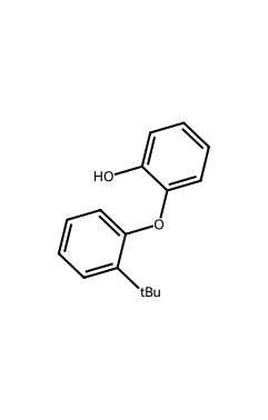 CC(C)(C)c1ccccc1Oc1ccccc1O